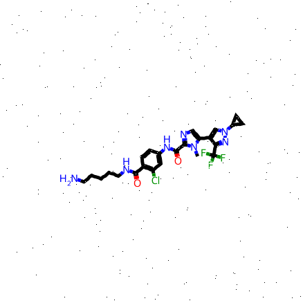 Cn1c(-c2cn(C3CC3)nc2C(F)(F)F)cnc1C(=O)Nc1ccc(C(=O)NCCCCCN)c(Cl)c1